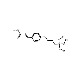 CCO[Si](CCCOc1ccc(C=CC(=O)OC)cc1)(OCC)OCC